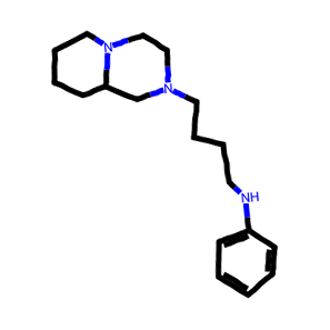 c1ccc(NCCCCN2CCN3CCCCC3C2)cc1